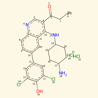 CC(C)CC(=O)c1cnc2ccc(-c3cc(Cl)c(O)c(Cl)c3)cc2c1NC1CCC(N)CC1.Cl.Cl